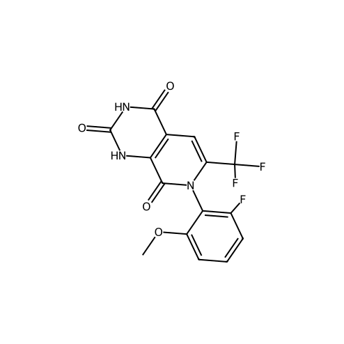 COc1cccc(F)c1-n1c(C(F)(F)F)cc2c(=O)[nH]c(=O)[nH]c2c1=O